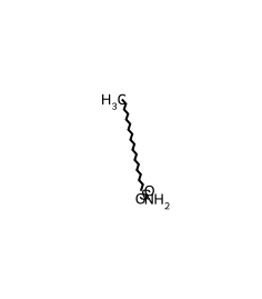 CCCCCCCCCCCCCCCCCCCS(N)(=O)=O